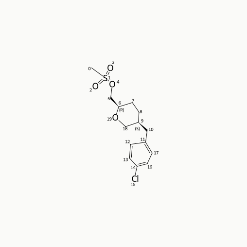 CS(=O)(=O)OC[C@H]1CC[C@@H](Cc2ccc(Cl)cc2)CO1